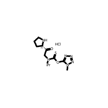 CC(C)N(CC(=O)[C@@H]1CCCN1)C(=S)Oc1nnnn1C.Cl